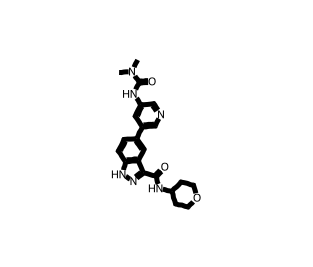 CN(C)C(=O)Nc1cncc(-c2ccc3[nH]nc(C(=O)NC4CCOCC4)c3c2)c1